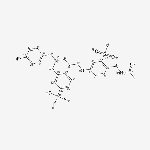 CC(=O)NCc1ccc(OCCCN(Cc2ccc(F)cc2)Cc2cccc(C(F)(F)F)c2)cc1S(C)(=O)=O